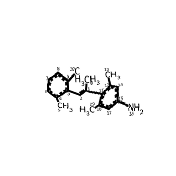 CC(=Cc1c(C)cccc1C)c1c(C)cc(N)cc1C